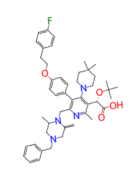 C=C1CN(Cc2ccccc2)CC(C)N1Cc1nc(C)c([C@H](OC(C)(C)C)C(=O)O)c(N2CCC(C)(C)CC2)c1-c1ccc(OCCc2ccc(F)cc2)cc1